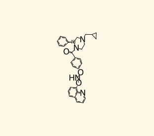 O=C(c1ccc(ONOc2cccc3cccnc23)cc1)N1CCN(CC2CC2)C[C@@H]1c1ccccc1